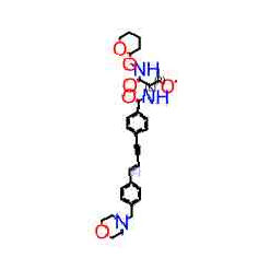 CO[C@H](C)[C@H](NC(=O)c1ccc(C#C/C=C/c2ccc(CN3CCOCC3)cc2)cc1)C(=O)NOC1CCCCO1